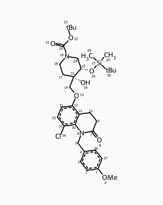 COc1ccc(CN2C(=O)CCc3c(OC[C@@]4(O)CCN(C(=O)OC(C)(C)C)C[C@@H]4O[Si](C)(C)C(C)(C)C)ccc(Cl)c32)cc1